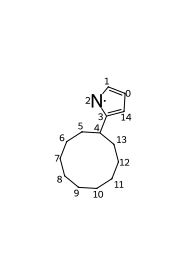 C1=C[N]C(C2CCCCCCCCC2)=C1